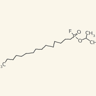 CCCCCCCCCCCCCCCP(=O)(F)OC(C)C